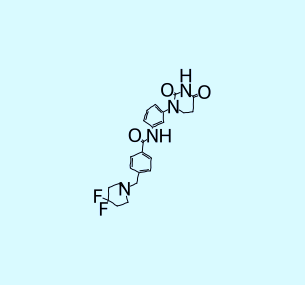 O=C1CCN(c2cccc(NC(=O)c3ccc(CN4CCC(F)(F)CC4)cc3)c2)C(=O)N1